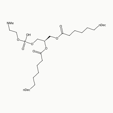 CCCCCCCCCCCCCCCC(=O)OC[C@H](COP(=O)(O)OCCNC)OC(=O)CCCCCCCCCCCCCCC